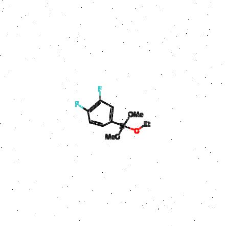 CCO[Si](OC)(OC)c1ccc(F)c(F)c1